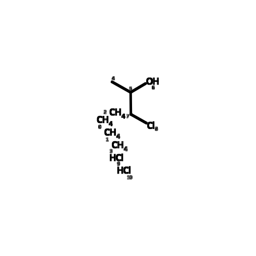 C.C.C.C.CC(O)CCl.Cl.Cl